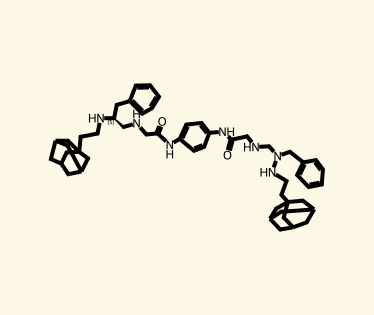 O=C(CNC[C@H](Cc1ccccc1)NCCC12CC3CC(CC(C3)C1)C2)Nc1ccc(NC(=O)CNCN(Cc2ccccc2)NCCC23CC4CC(CC(C4)C2)C3)cc1